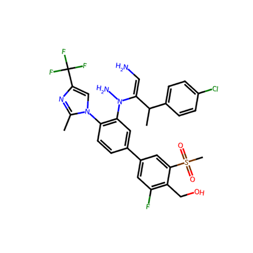 Cc1nc(C(F)(F)F)cn1-c1ccc(-c2cc(F)c(CO)c(S(C)(=O)=O)c2)cc1N(N)/C(=C\N)C(C)c1ccc(Cl)cc1